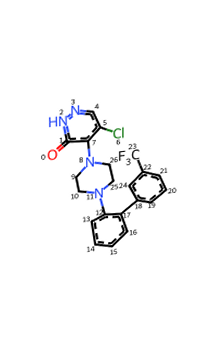 O=c1[nH]ncc(Cl)c1N1CCN(c2ccccc2-c2cccc(C(F)(F)F)c2)CC1